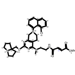 COC(=O)/C=C/C(=O)NCCN(C)c1nc(OCC23CCCN2CCC3)nc2c1CCN(c1cccc3cccc(Cl)c13)C2